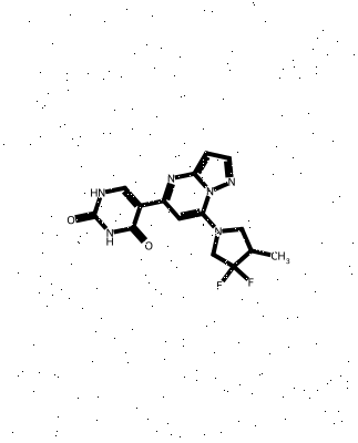 CC1CN(c2cc(-c3c[nH]c(=O)[nH]c3=O)nc3ccnn23)CC1(F)F